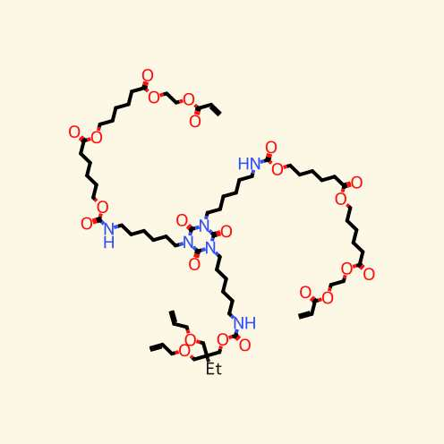 C=CCOCC(CC)(COCC=C)COC(=O)NCCCCCCn1c(=O)n(CCCCCCNC(=O)OCCCCCC(=O)OCCCCCC(=O)OCCOC(=O)C=C)c(=O)n(CCCCCCNC(=O)OCCCCCC(=O)OCCCCCC(=O)OCCOC(=O)C=C)c1=O